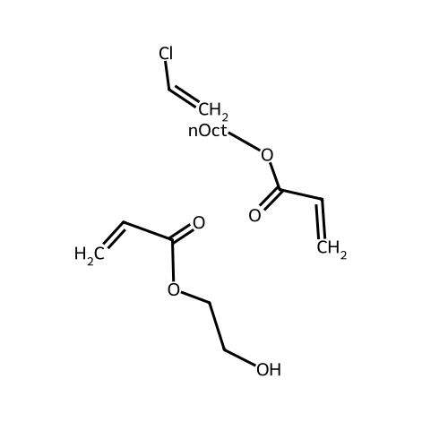 C=CC(=O)OCCCCCCCC.C=CC(=O)OCCO.C=CCl